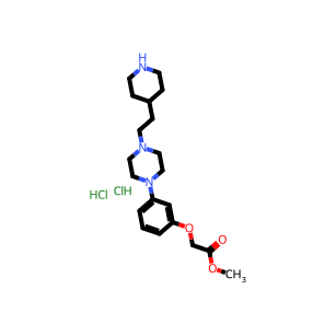 COC(=O)COc1cccc(N2CCN(CCC3CCNCC3)CC2)c1.Cl.Cl